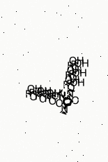 O=C1C=C(N2CC2)C(=O)C(N2CC2)=C1N1CC1.O=P(O)(O)F.O=P(O)(O)F.O=P(O)(O)F.O=P(O)(O)F.O=P(O)(O)F.O=P(O)(O)F